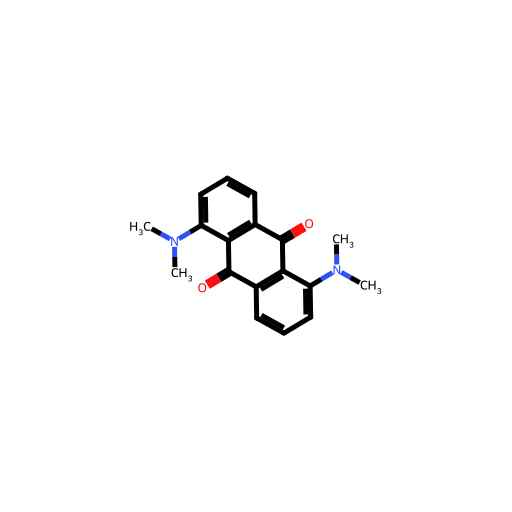 CN(C)c1cccc2c1C(=O)c1cccc(N(C)C)c1C2=O